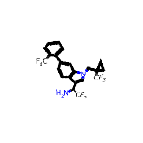 N[C@@H](c1cn(CC2(C(F)(F)F)CC2)c2cc(-c3ccccc3C(F)(F)F)ccc12)C(F)(F)F